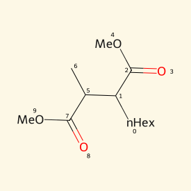 CCCCCCC(C(=O)OC)C(C)C(=O)OC